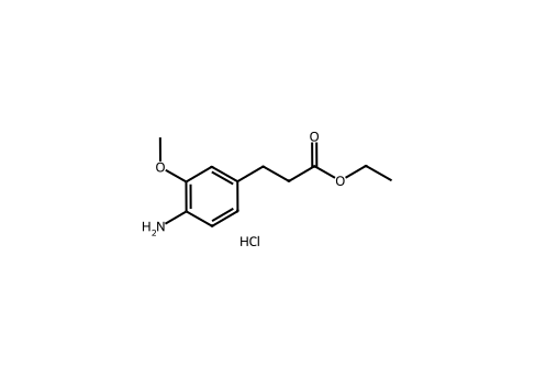 CCOC(=O)CCc1ccc(N)c(OC)c1.Cl